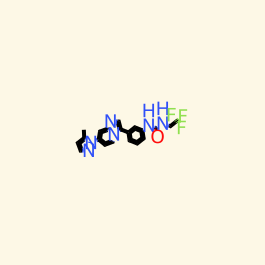 Cc1ccnn1-c1ccn2c(-c3cccc(NC(=O)NCC(F)(F)F)c3)cnc2c1